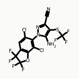 N#Cc1nn(-c2c(Cl)cc3c(c2Cl)OC(F)(F)C3(F)F)c(N)c1SC(F)(F)F